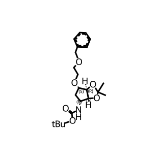 CC(C)(C)OC(=O)N[C@@H]1C[C@H](OCCOCc2ccccc2)[C@H]2OC(C)(C)O[C@H]21